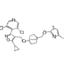 Cc1csc(OCC23CCC(OCc4c(-c5c(Cl)cncc5Cl)noc4C4CC4)(CC2)CC3)n1